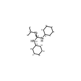 CC(C)N=C(NC1CCCCC1)NC1CCCCC1